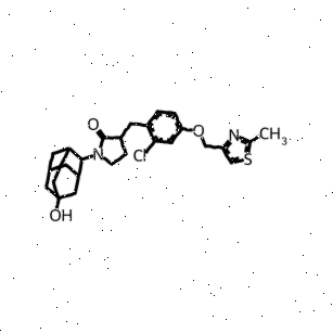 Cc1nc(COc2ccc(CC3CCN(C4C5CC6CC4CC(O)(C6)C5)C3=O)c(Cl)c2)cs1